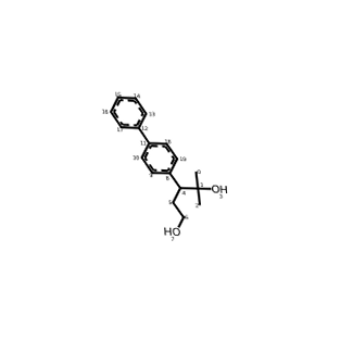 CC(C)(O)C(CCO)c1ccc(-c2ccccc2)cc1